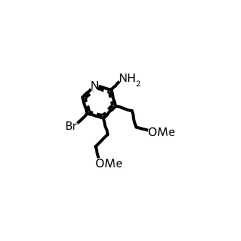 COCCc1c(Br)cnc(N)c1CCOC